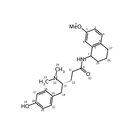 COc1ccc2c(c1)C(NC(=O)CC[C@H](Cc1ccc(O)cc1)N(C)C)CCC2